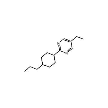 CCCC1CCC(c2ncc(CC)cn2)CC1